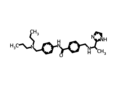 CCCN(CCC)Cc1ccc(NC(=O)c2ccc(CNC(C)c3ncc[nH]3)cc2)cc1